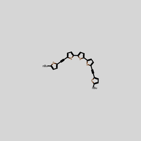 CCCCc1ccc(C#Cc2ccc(-c3ccc(-c4ccc(C#Cc5ccc(CCCC)s5)s4)s3)s2)s1